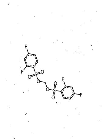 O=S(=O)(OCOS(=O)(=O)c1ccc(F)cc1F)c1ccc(F)cc1F